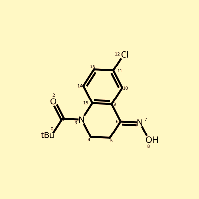 CC(C)(C)C(=O)N1CCC(=NO)c2cc(Cl)ccc21